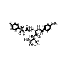 CCCCc1ccc(C(=O)N[C@@H](CNC(=O)NS(=O)(=O)c2ccc(C)cc2)C(=O)N[C@@H](CC(C)C)B(O)O)cc1